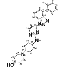 Cc1ccccc1-c1cccc2c1nnn2-c1ccnc(NC2CCC(N3CCC(O)CC3)CC2)n1